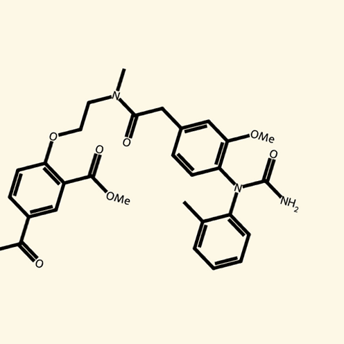 COC(=O)c1ccc(OCCN(C)C(=O)Cc2ccc(N(C(N)=O)c3ccccc3C)c(OC)c2)c(C(=O)OC)c1